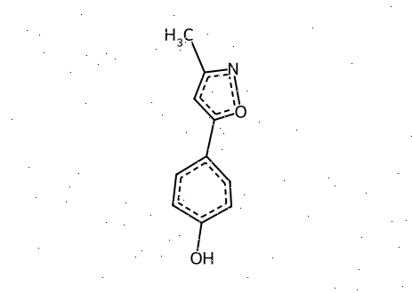 Cc1cc(-c2ccc(O)cc2)on1